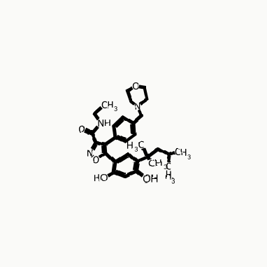 CCNC(=O)c1noc(-c2cc(C(C)(C)CC(C)C)c(O)cc2O)c1-c1ccc(CN2CCOCC2)cc1